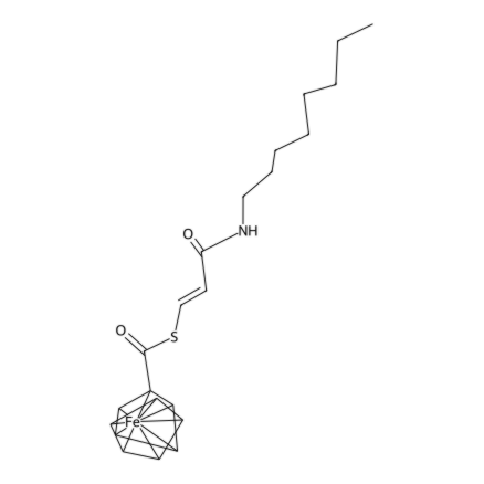 CCCCCCCCNC(=O)C=CSC(=O)[C]12[CH]3[CH]4[CH]5[CH]1[Fe]45321678[CH]2[CH]1[CH]6[CH]7[CH]28